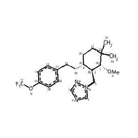 CO[C@@H]1[C@@H](Cn2cncn2)[C@H](CCc2ccc(OC(F)(F)F)cc2)CCC1(C)C